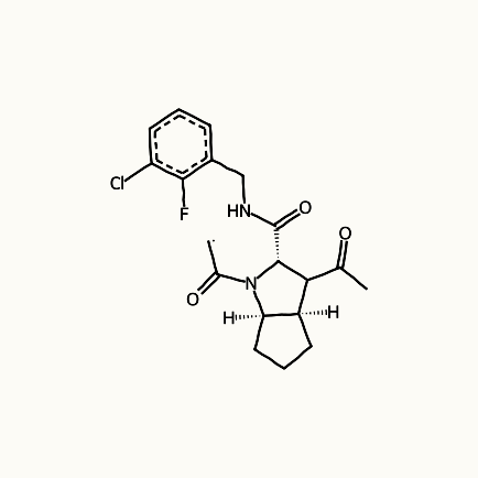 [CH2]C(=O)N1[C@H](C(=O)NCc2cccc(Cl)c2F)C(C(C)=O)[C@H]2CCC[C@H]21